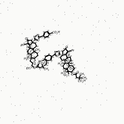 CC[C@H](CC[C@@]1(C)[C@H](C)CC[C@]2(C)[C@@H]1CC[C@@H]1C3=C(C(C)C)C(=O)C[C@]3(c3nnc(-c4ccc(C(=O)O)cc4)o3)CC[C@]12C)OC(=O)CC(C)(Cc1cc(-c2nnc([C@@]34CC[C@]5(C)[C@H](CC[C@@H]6[C@@]7(C)CC[C@H](OC(=O)CC(C)(C)C(=O)O)C(C)(C)[C@@H]7CC[C@]65C)C3=C(C(C)C)C(=O)C4)o2)ccc1C#N)C(=O)O